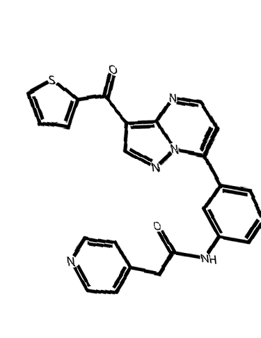 O=C(Cc1ccncc1)Nc1cccc(-c2ccnc3c(C(=O)c4cccs4)cnn23)c1